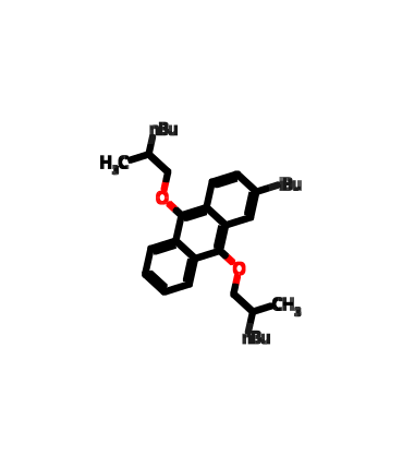 CCCCC(C)COc1c2ccccc2c(OCC(C)CCCC)c2cc(C(C)CC)ccc12